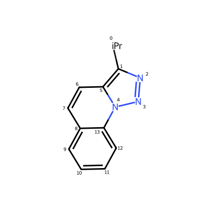 CC(C)c1nnn2c1ccc1ccccc12